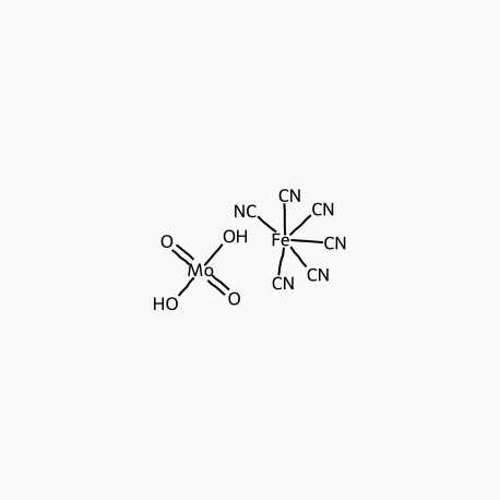 N#[C][Fe]([C]#N)([C]#N)([C]#N)([C]#N)[C]#N.[O]=[Mo](=[O])([OH])[OH]